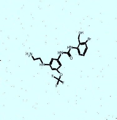 NCCNc1cc(NC(=O)Nc2cccc(Br)c2CO)cc(OC(F)(F)F)c1